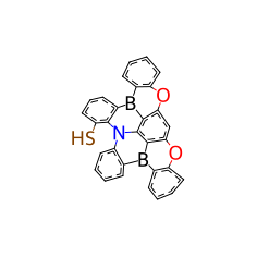 Sc1cccc2c1N1c3ccccc3B3c4ccccc4Oc4cc5c(c1c43)B2c1ccccc1O5